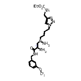 CCOC(=O)NCc1cn(CCCCN(N)/C=C(\N)C(=O)NCc2cccc(OC(F)(F)F)c2)nn1